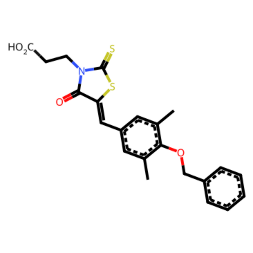 Cc1cc(/C=C2\SC(=S)N(CCC(=O)O)C2=O)cc(C)c1OCc1ccccc1